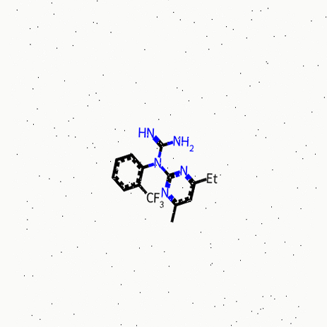 CCc1cc(C)nc(N(C(=N)N)c2ccccc2C(F)(F)F)n1